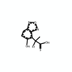 CCC(C)(C(O)=S)c1c(O)ccc2nonc12